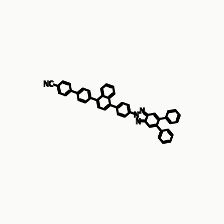 N#Cc1ccc(-c2ccc(-c3ccc(-c4ccc(-n5nc6cc(-c7ccccc7)c(-c7ccccc7)cc6n5)cc4)c4ccccc34)cc2)cc1